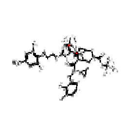 Cc1cc(Cl)c(OCCOc2ncc(C3=C(C(=O)N(Cc4cccc(F)c4Cl)C4CC4)C4CN(C(=O)OC(C)(C)C)CC(C3)N4C(=O)OC(C)(C)C)s2)c(Cl)c1